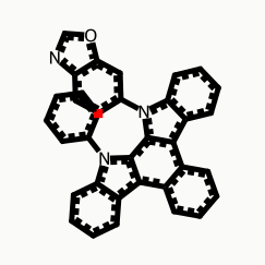 c1ccc(-n2c3ccccc3c3c4ccccc4c4c5ccccc5n(-c5ccc6ncoc6c5)c4c32)cc1